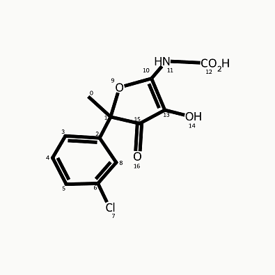 CC1(c2cccc(Cl)c2)OC(NC(=O)O)=C(O)C1=O